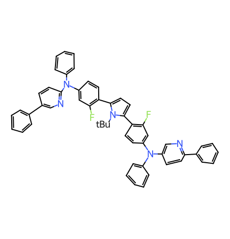 CC(C)(C)n1c(-c2ccc(N(c3ccccc3)c3ccc(-c4ccccc4)nc3)cc2F)ccc1-c1ccc(N(c2ccccc2)c2ccc(-c3ccccc3)cn2)cc1F